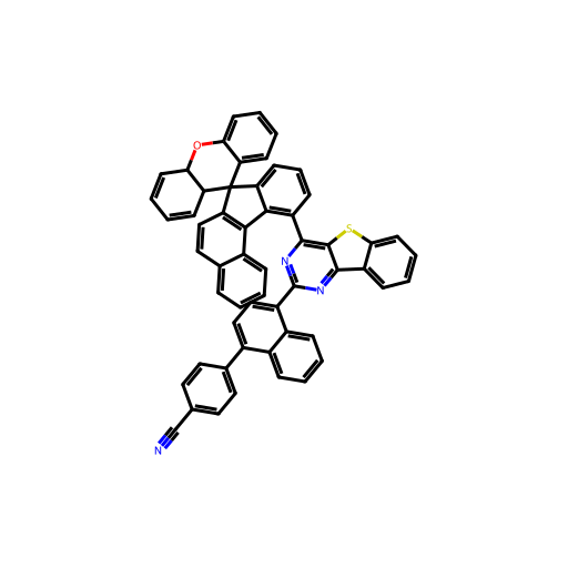 N#Cc1ccc(-c2ccc(-c3nc(-c4cccc5c4-c4c(ccc6ccccc46)C54c5ccccc5OC5C=CC=CC54)c4sc5ccccc5c4n3)c3ccccc23)cc1